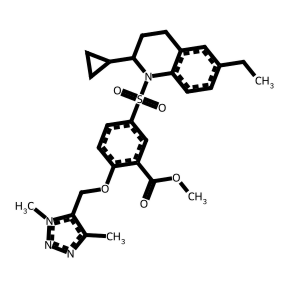 CCc1ccc2c(c1)CCC(C1CC1)N2S(=O)(=O)c1ccc(OCc2c(C)nnn2C)c(C(=O)OC)c1